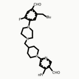 CCCc1cc(N2CCC(CN3CCN(c4cc(CC(C)CC)c(C=O)cc4F)CC3)CC2)ncc1C=O